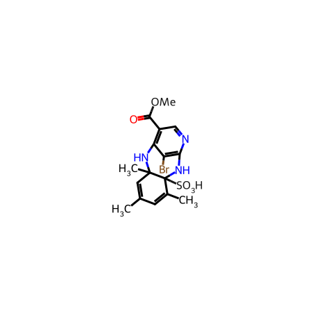 COC(=O)c1cnc2c(Br)c1NC1(C)C=C(C)C=C(C)C1(S(=O)(=O)O)N2